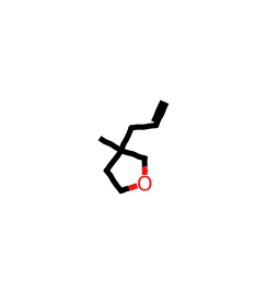 C=CCC1(C)CCOC1